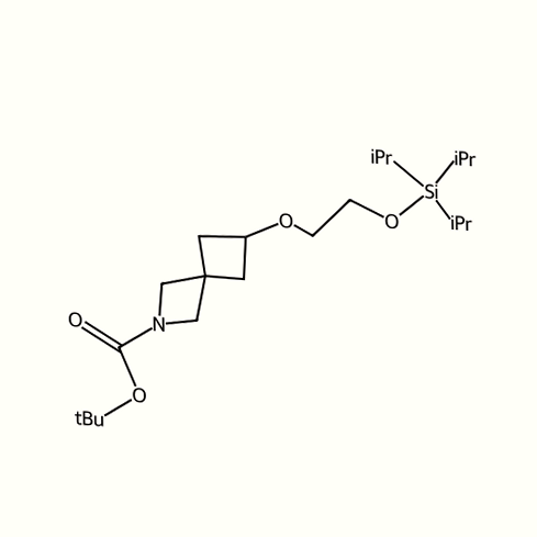 CC(C)[Si](OCCOC1CC2(C1)CN(C(=O)OC(C)(C)C)C2)(C(C)C)C(C)C